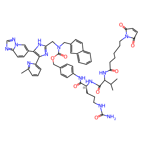 Cc1cccc(-c2nc(CN(Cc3ccc4ccccc4c3)C(=O)OCc3ccc(NC(=O)[C@H](CCCNC(N)=O)NC(=O)C(NC(=O)CCCCCN4C(=O)C=CC4=O)C(C)C)cc3)[nH]c2-c2ccc3ncnn3c2)n1